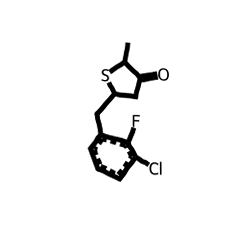 CC1SC(Cc2cccc(Cl)c2F)CC1=O